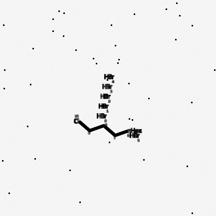 Br.Br.Br.Br.Br.Br.CCCCCCCCCCl